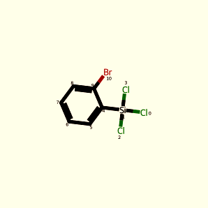 Cl[Si](Cl)(Cl)c1ccccc1Br